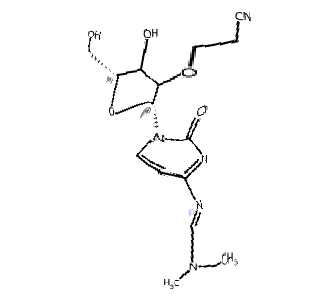 CN(C)/C=N/c1ccn([C@@H]2O[C@H](CO)C(O)C2OCCC#N)c(=O)n1